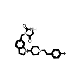 O=C1CNC(=O)N1Cc1ccc2c(c1)N(C1CCN(CCc3ccc(F)cc3)CC1)CC2